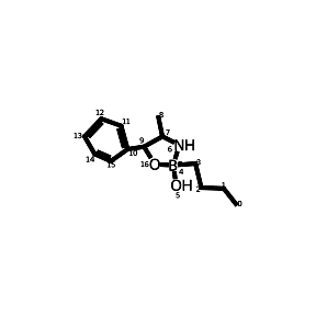 CCCC[B-]1(O)NC(C)C(c2ccccc2)O1